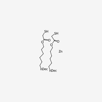 CCCCCCCCCCCCCCCCOC(=O)CS.CCCCCCCCCCCCCCCCOC(=O)CS.[Zn]